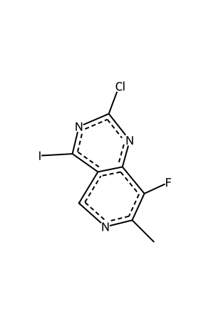 Cc1ncc2c(I)nc(Cl)nc2c1F